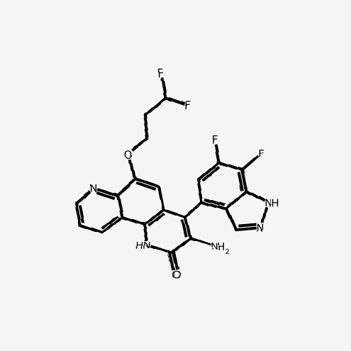 Nc1c(-c2cc(F)c(F)c3[nH]ncc23)c2cc(OCCC(F)F)c3ncccc3c2[nH]c1=O